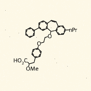 CCCc1ccc2c(c1)C=Cc1ccc(-c3ccccc3)cc1C2OCCOc1ccc(CC(OC)C(=O)O)cc1